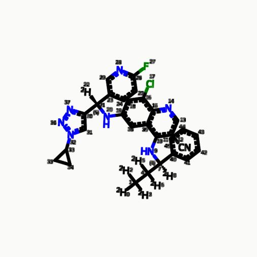 [2H]C([2H])([2H])C([2H])([2H])[C@@]([2H])(Nc1c(C#N)cnc2c(Cl)cc(N[C@@]([2H])(c3ccc(F)nc3)c3cn(C4CC4)nn3)cc12)c1ccccc1